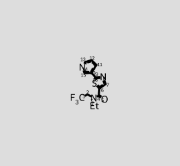 CCN(CC(F)(F)F)C(=O)c1cnc(-c2cccnc2)s1